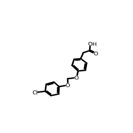 O=C(O)Cc1ccc(OCOc2ccc(Cl)cc2)cc1